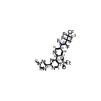 CCS(=O)(=O)c1cnc(-c2ncn(C)n2)nc1-c1ccc(/C(F)=C(\F)C(F)(F)C(F)(F)C(F)(F)F)cn1